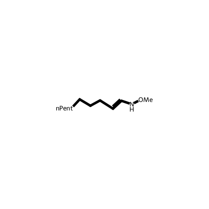 CCCCCCCCC=CNOC